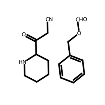 N#CCC(=O)C1CCCCN1.O=COCc1ccccc1